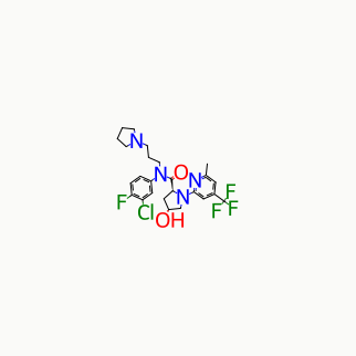 Cc1cc(C(F)(F)F)cc(N2C[C@@H](O)C[C@H]2C(=O)N(CCCN2CCCC2)c2ccc(F)c(Cl)c2)n1